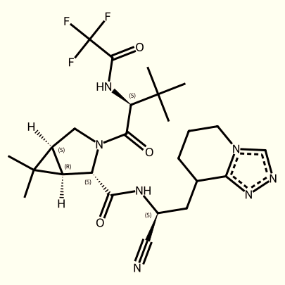 CC(C)(C)[C@H](NC(=O)C(F)(F)F)C(=O)N1C[C@H]2[C@@H]([C@H]1C(=O)N[C@H](C#N)CC1CCCn3cnnc31)C2(C)C